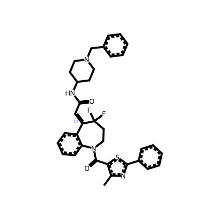 Cc1nc(-c2ccccc2)sc1C(=O)N1CCC(F)(F)/C(=C\C(=O)NC2CCN(Cc3ccccc3)CC2)c2ccccc21